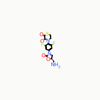 NC[C@@H]1CN(c2cc(F)c(N3CCSC(=O)C3=O)c(F)c2)C(=O)O1